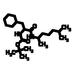 CC(C)CCCC(C)NC(=O)C(CC1CCCCC1)NC(=O)OC(C)(C)C